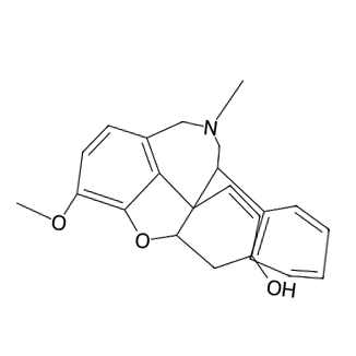 COc1ccc2c3c1OC1CC(O)C=CC31C(c1ccccc1)CN(C)C2